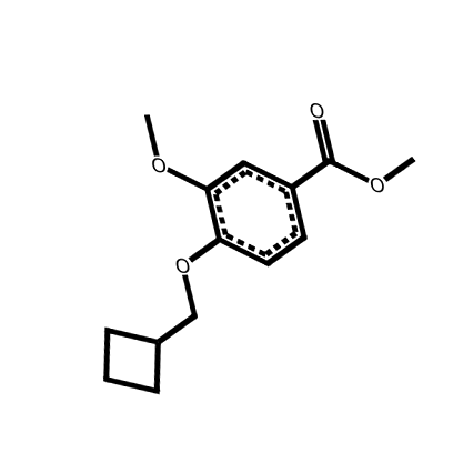 COC(=O)c1ccc(OCC2CCC2)c(OC)c1